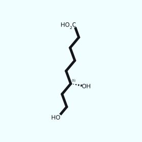 O=C(O)CCCC[C@H](O)CCO